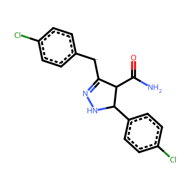 NC(=O)C1C([CH]c2ccc(Cl)cc2)=NNC1c1ccc(Cl)cc1